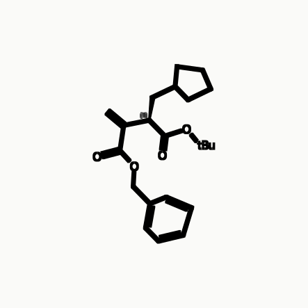 C=C(C(=O)OCc1ccccc1)[C@@H](CC1CCCC1)C(=O)OC(C)(C)C